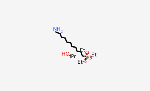 CC(C)O.CCO[Si](CCCCCCCCCCCN)(OCC)OCC